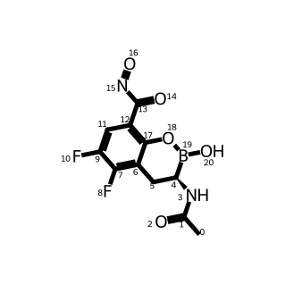 CC(=O)N[C@H]1Cc2c(F)c(F)cc(C(=O)N=O)c2OB1O